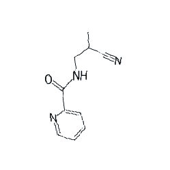 CC(C#N)CNC(=O)c1ccccn1